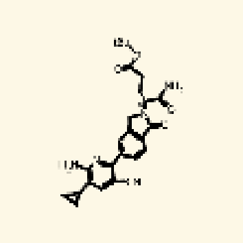 CC(C)(C)OC(=O)CC[C@@H](C(N)=O)N1Cc2cc(-c3nc(N)c(C4CC4)cc3C#N)ccc2C1=O